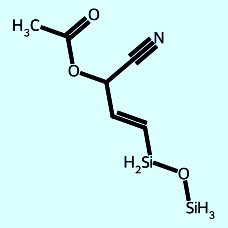 CC(=O)OC(C#N)C=C[SiH2]O[SiH3]